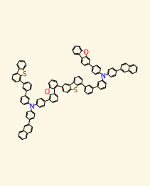 c1cc(-c2cccc(N(c3ccc(-c4ccc5ccccc5c4)cc3)c3ccc(-c4cccc5c4oc4cccc(-c6ccc7sc8c(-c9cccc(-c%10cccc(N(c%11ccc(-c%12ccc%13ccccc%13c%12)cc%11)c%11ccc(-c%12ccc%13c(c%12)oc%12ccccc%12%13)cc%11)c%10)c9)cccc8c7c6)c45)cc3)c2)cc(-c2cccc3c2sc2ccccc23)c1